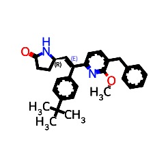 COc1nc(/C(=C/[C@H]2CCC(=O)N2)c2ccc(C(C)(C)C)cc2)ccc1Cc1ccccc1